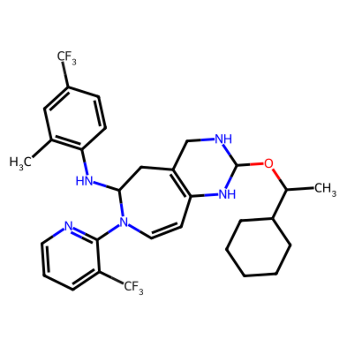 Cc1cc(C(F)(F)F)ccc1NC1CC2=C(C=CN1c1ncccc1C(F)(F)F)NC(OC(C)C1CCCCC1)NC2